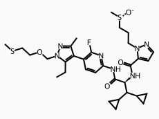 CCc1c(-c2ccc(NC(=O)[C@@H](NC(=O)c3ccnn3CCC[S+](C)[O-])C(C3CC3)C3CC3)nc2F)c(C)nn1COCCSC